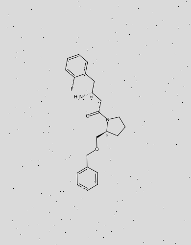 N[C@@H](CC(=O)N1CCC[C@H]1COCc1ccccc1)Cc1ccccc1F